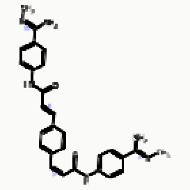 C/N=C(\N)c1ccc(NC(=O)/C=C\c2ccc(/C=C/C(=O)Nc3ccc(/C(N)=N/C)cc3)cc2)cc1